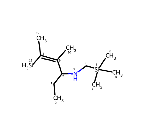 CCC(NC[Si](C)(C)C)C(C)=C(C)[SiH3]